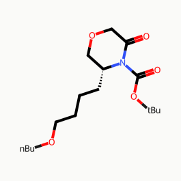 CCCCOCCCC[C@@H]1COCC(=O)N1C(=O)OC(C)(C)C